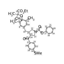 CCOC(=O)C(C)(C)Oc1c(C)cc(CC2CN(C(=O)Oc3ccccc3)C[C@H]2C(=O)c2ccc(SC)cc2)cc1C